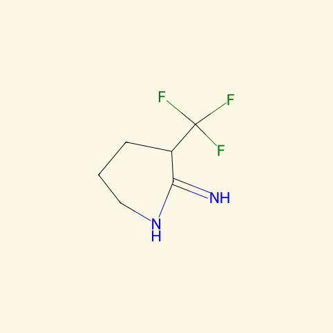 N=C1NCCCC1C(F)(F)F